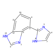 [c]1nc2c(-c3ncc[nH]3)cccc2[nH]1